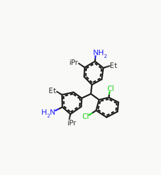 CCc1cc(C(c2cc(CC)c(N)c(C(C)C)c2)c2c(Cl)cccc2Cl)cc(C(C)C)c1N